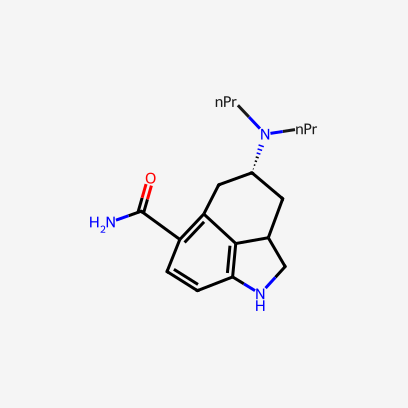 CCCN(CCC)[C@H]1Cc2c(C(N)=O)ccc3c2C(CN3)C1